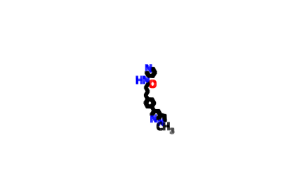 Cn1ccc2cc(-c3ccc(CCCC(=O)Nc4cccnc4)cc3)cnc21